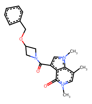 Cc1cn(C)c(=O)c2c(C(=O)N3CC(OCc4ccccc4)C3)cn(C)c12